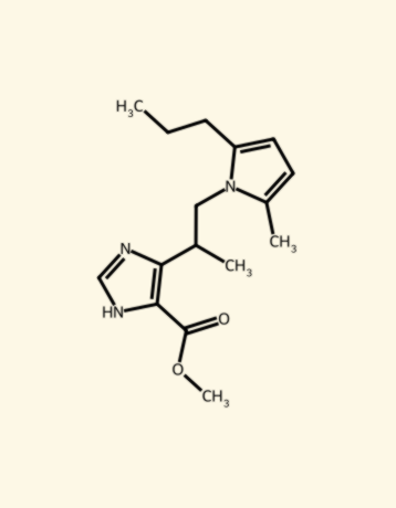 CCCc1ccc(C)n1CC(C)c1nc[nH]c1C(=O)OC